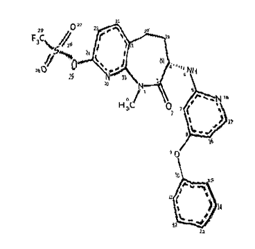 CN1C(=O)[C@@H](Nc2cc(Oc3ccccc3)ccn2)CCc2ccc(OS(=O)(=O)C(F)(F)F)nc21